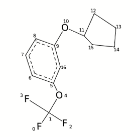 FC(F)(F)Oc1cc[c]c(OC2CCCC2)c1